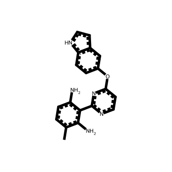 Cc1ccc(N)c(-c2nccc(Oc3ccc4[nH]ccc4c3)n2)c1N